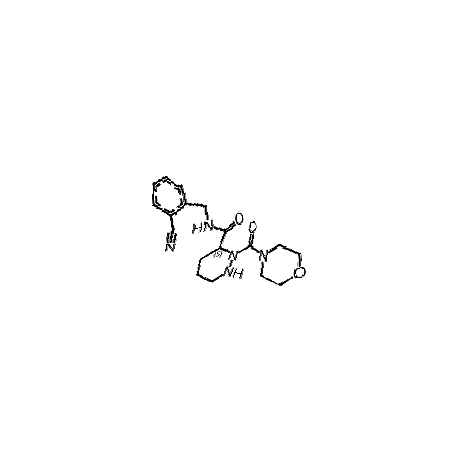 N#Cc1ccccc1CNC(=O)[C@@H]1CCCNN1C(=O)N1CCOCC1